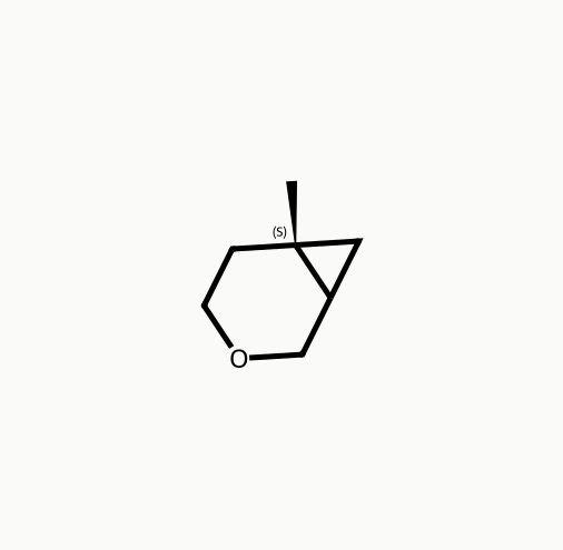 C[C@]12CCOCC1C2